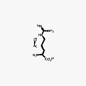 CC(=O)Cl.N=C(N)NCCCC(N)C(=O)O